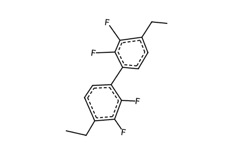 CCc1ccc(-c2ccc(CC)c(F)c2F)c(F)c1F